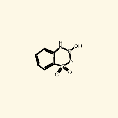 O=S1(=O)OB(O)Nc2ccccc21